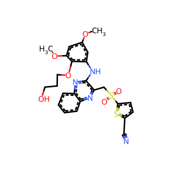 COc1cc(Nc2nc3ccccc3nc2CS(=O)(=O)c2ccc(C#N)s2)c(OCCCO)c(OC)c1